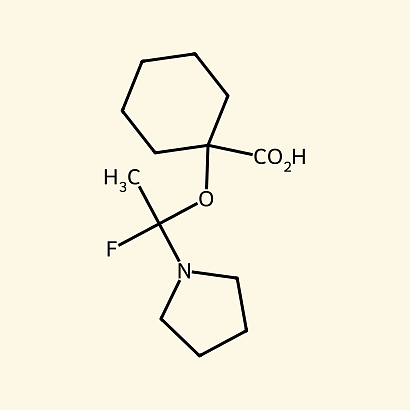 CC(F)(OC1(C(=O)O)CCCCC1)N1CCCC1